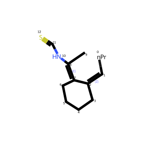 CCC/C=C1/CCCC/C1=C(/C)NC=S